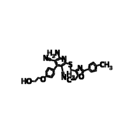 CCc1oc(-c2ccc(C)cc2)nc1CSc1nc(N)c(C#N)c(-c2ccc(OCCO)cc2)c1C#N